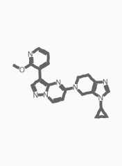 COc1ncccc1-c1cnn2ccc(N3CCc4ncn(C5CC5)c4C3)nc12